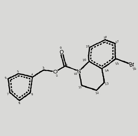 O=C(OCc1ccccc1)N1CCCc2c(Br)cccc21